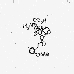 COc1ccccc1CCC(=O)OC[C@H]1OCC=C[C@H]1OP(=O)(O)OC[C@H](N)C(=O)O